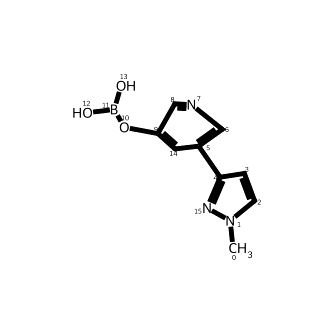 Cn1ccc(-c2cncc(OB(O)O)c2)n1